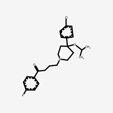 CC(C)OC1(c2ccc(Cl)cc2)CCN(CCCC(=O)c2ccc(F)cc2)CC1